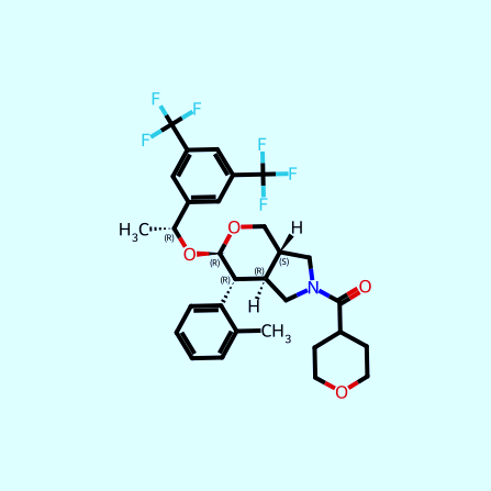 Cc1ccccc1[C@@H]1[C@@H](O[C@H](C)c2cc(C(F)(F)F)cc(C(F)(F)F)c2)OC[C@@H]2CN(C(=O)C3CCOCC3)C[C@H]21